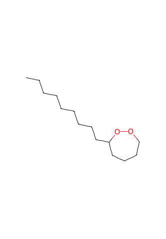 CCCCCCCCCC1CCCCOO1